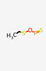 CCSOP=S